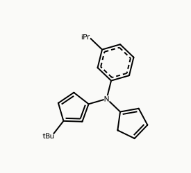 CC(C)c1cccc(N(C2=C=C(C(C)(C)C)C=C2)C2=CC=CC2)c1